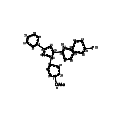 COc1ccc(-n2nc(-c3ccccc3)cc2-c2ccc3cc(F)ccc3n2)cc1